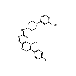 COc1cc(N2CCC(Nc3ncc4c(n3)N(C)C(c3ccc(F)cc3)CO4)CC2)ccn1